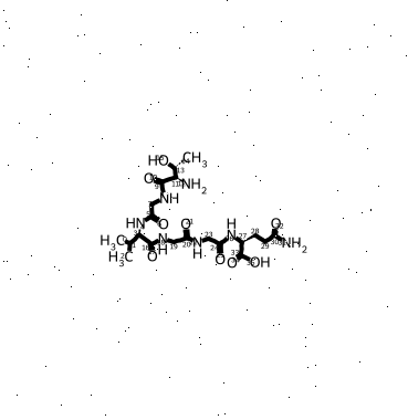 CC(C)[C@H](NC(=O)CNC(=O)[C@@H](N)[C@@H](C)O)C(=O)NCC(=O)NCC(=O)N[C@@H](CCC(N)=O)C(=O)O